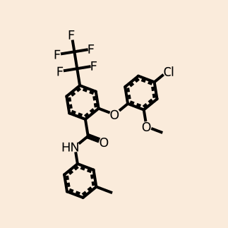 COc1cc(Cl)ccc1Oc1cc(C(F)(F)C(F)(F)F)ccc1C(=O)Nc1cccc(C)c1